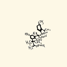 CCCCCC(C)C(C)(C)c1cc(C(C)(C)C)cc(C(CC)(CCCCC)Pc2ccc(C)cc2C(C)O)c1O